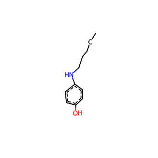 CCCCCNc1ccc(O)cc1